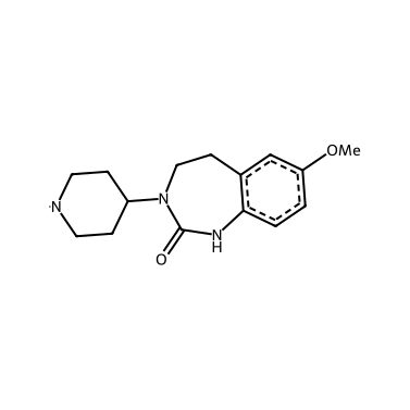 COc1ccc2c(c1)CCN(C1CC[N]CC1)C(=O)N2